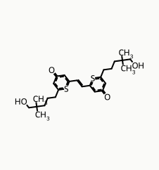 CC(C)(CO)CCCc1cc(=O)cc(C=Cc2cc(=O)cc(CCCC(C)(C)CO)s2)s1